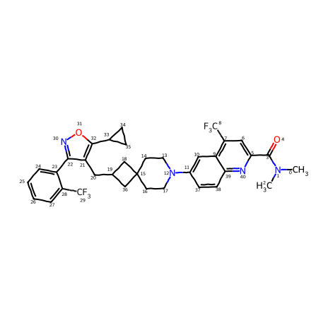 CN(C)C(=O)c1cc(C(F)(F)F)c2cc(N3CCC4(CC3)CC(Cc3c(-c5ccccc5C(F)(F)F)noc3C3CC3)C4)ccc2n1